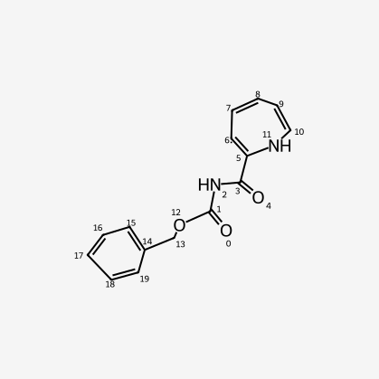 O=C(NC(=O)C1=[C]C=CC=CN1)OCc1ccccc1